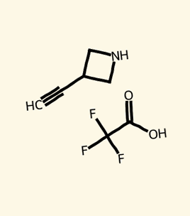 C#CC1CNC1.O=C(O)C(F)(F)F